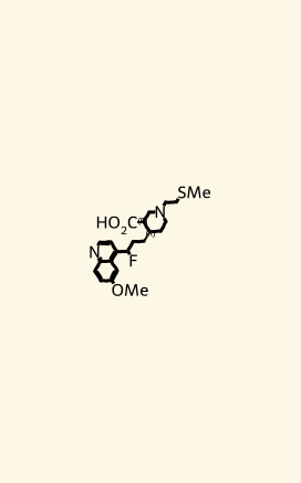 COc1ccc2nccc(C(F)CC[C@@H]3CCN(CCSC)C[C@@H]3C(=O)O)c2c1